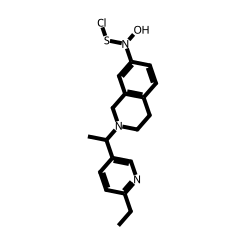 CCc1ccc(C(C)N2CCc3ccc(N(O)SCl)cc3C2)cn1